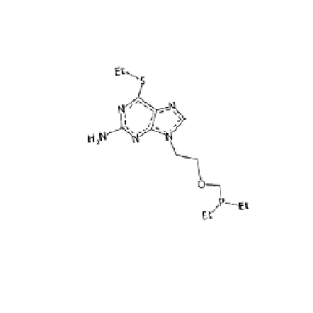 CCSc1nc(N)nc2c1ncn2CCOCP(CC)CC